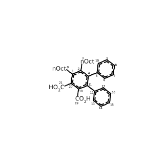 CCCCCCCCc1c(CCCCCCCC)c(-c2ccccc2)c(-c2ccccc2)c(C(=O)O)c1C(=O)O